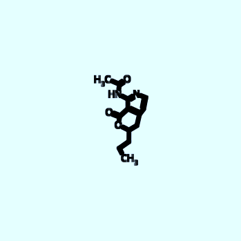 CCCC1Cc2ccnc(NC(C)=O)c2C(=O)O1